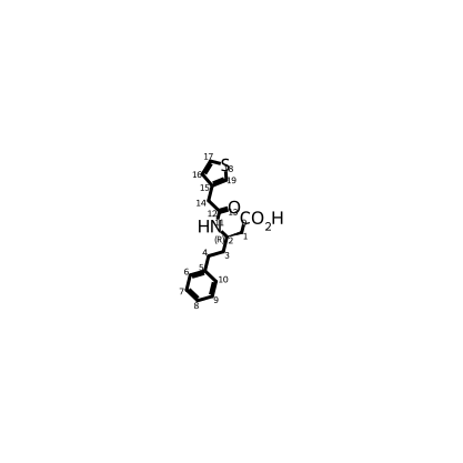 O=C(O)C[C@@H](CCc1ccccc1)NC(=O)Cc1ccsc1